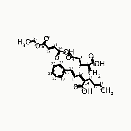 C=C(CCC1CO1)C(=O)O.CCCCC(=CC=Cc1ccccc1)C(=O)O.CCOC(=O)C=CC(=O)O